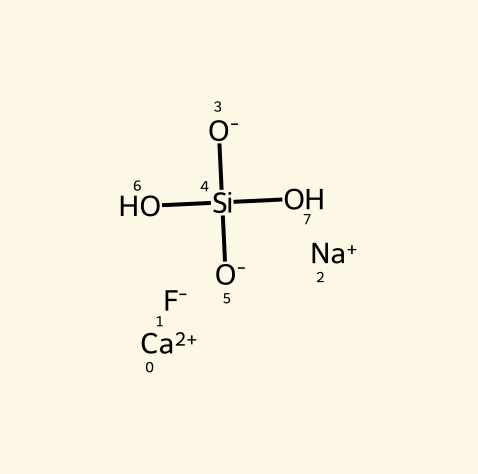 [Ca+2].[F-].[Na+].[O-][Si]([O-])(O)O